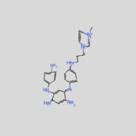 C[n+]1ccn(CCCNc2ccc(N=C3C=C(Nc4ccc(N)cc4)C(=N)C=C3N)cc2)c1